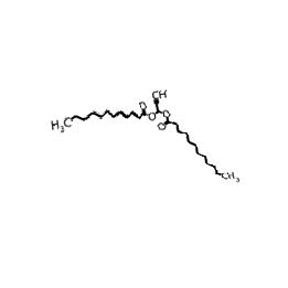 C#CC(OC(=O)C=CC=CCCCCCCC)OC(=O)CCCCCCCCCCC